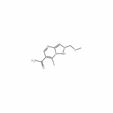 COCN1C=C2N=CC(C(N)=O)=C([S])N2N1